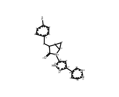 O=C1C(Cc2ccc(F)cc2)C2CC2N1c1cc(-c2ccnnc2)n[nH]1